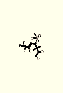 CC(C)(C(=O)CBr)C(/C=C(\Cl)C(F)(F)F)OS(C)(=O)=O